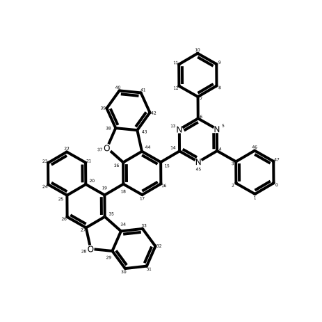 c1ccc(-c2nc(-c3ccccc3)nc(-c3ccc(-c4c5ccccc5cc5oc6ccccc6c45)c4oc5ccccc5c34)n2)cc1